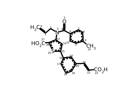 C=CCN(C(=O)c1ccc(C)cc1)c1cc(-c2cccc(/C=C/C(=O)O)c2)sc1C(=O)O